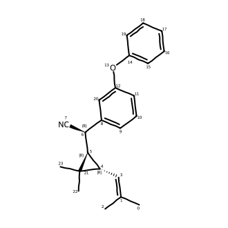 CC(C)=C[C@H]1[C@H]([C@@H](C#N)c2cccc(Oc3ccccc3)c2)C1(C)C